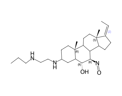 C/C=C1/CCC2C3C(CC[C@]12C)[C@@]1(C)CCC(NCCNCCC)CC1[C@@H](O)[C@@H]3N=O